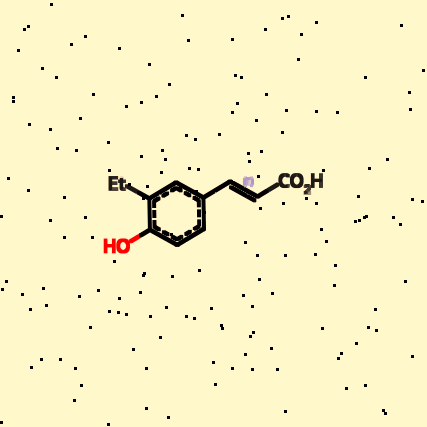 CCc1cc(/C=C/C(=O)O)ccc1O